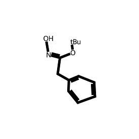 CC(C)(C)OC(Cc1ccccc1)=NO